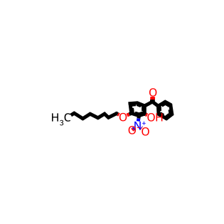 CCCCCCCCOc1ccc(C(=O)c2ccccc2)c(O)c1[N+](=O)[O-]